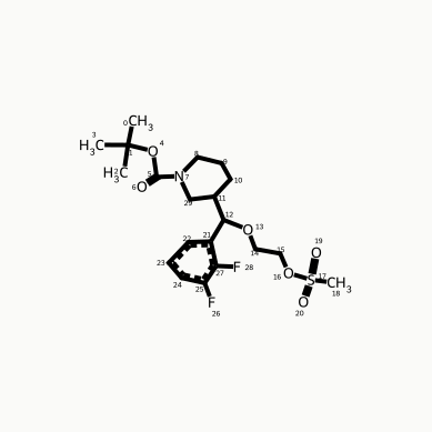 CC(C)(C)OC(=O)N1CCCC(C(OCCOS(C)(=O)=O)c2cccc(F)c2F)C1